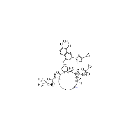 COc1ccc2c(O[C@@H]3C[C@H]4C(=O)N[C@]5(C(=O)NS(=O)(=O)C6CC6)C[C@H]5/C=C\CCCCC[C@H](NC(=O)OC(C)(C)C)C(=O)N4C3)cc(-c3nc(C4CC4)cs3)nc2c1Cl